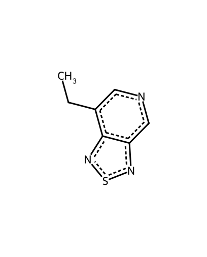 CCc1cncc2nsnc12